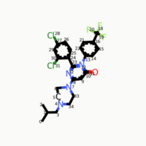 CC(C)CN1CCN(c2cc(=O)n(-c3ccc(C(F)(F)F)cc3)c(-c3ccc(Cl)cc3Cl)n2)CC1